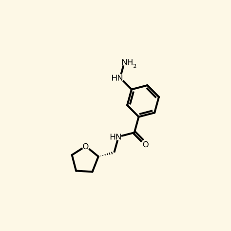 NNc1cccc(C(=O)NC[C@@H]2CCCO2)c1